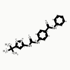 CC(C)(C)c1cc(NC(=O)Nc2ccc(C(=O)Nc3ccccc3)cc2)no1